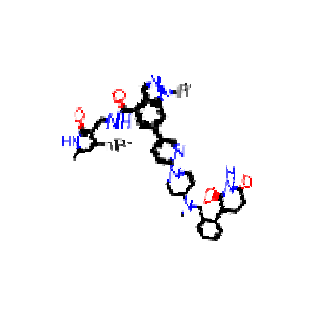 CCCc1cc(C)[nH]c(=O)c1CNC(=O)c1cc(-c2ccc(N3CCC(N(C)Cc4ccccc4C4CCC(=O)NC4=O)CC3)nc2)cc2c1cnn2C(C)C